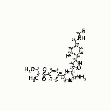 CCC(C)S(=O)(=O)c1ccc(-c2cnc(N)c(-c3cc(-c4ccc(CNCF)cc4F)no3)n2)cc1